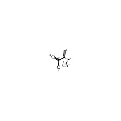 C=CC(=O)[O-].[F][Ca+]